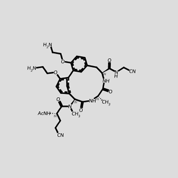 CC(=O)N[C@@H](CCC#N)C(=O)N(C)[C@@H]1C(=O)N[C@@H](C)C(=O)N[C@H](C(=O)NCC#N)Cc2ccc(OCCN)c(c2)-c2cc1ccc2OCCN